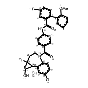 COc1ccccc1-c1ccc(F)cc1C(=O)Nc1ccc(C(=O)N2CCC(F)(F)[C@](O)(CO)c3cc(Cl)ccc32)cn1